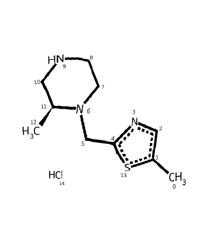 Cc1cnc(CN2CCNC[C@@H]2C)s1.Cl